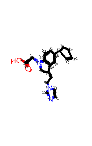 O=C(O)CN1CC(CCn2ccnc2)c2cc(C3CCCC3)ccc21